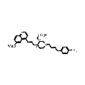 COc1ccc2nccc(CCC[C@@H]3CCN(CCCCc4ccc(C(F)(F)F)cc4)C[C@@H]3CC(=O)O)c2c1